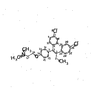 CCC(=C(c1ccc(Cl)cc1)c1ccc(OCCN(C)C)cc1)c1ccc(Cl)cc1